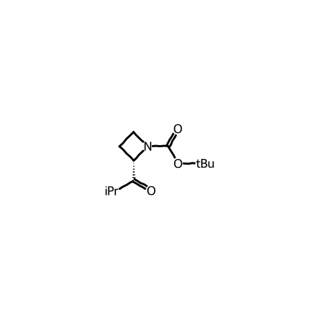 CC(C)C(=O)[C@@H]1CCN1C(=O)OC(C)(C)C